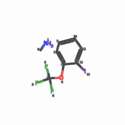 CN.FC(F)(F)Oc1ccccc1I